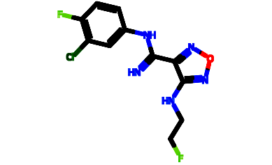 N=C(Nc1ccc(F)c(Cl)c1)c1nonc1NCCF